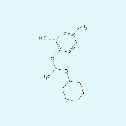 Cc1ccc(OC(C)OC2CCCCC2)c(C)c1